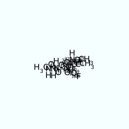 CNC(=O)NNC(=O)[C@H]1CN(S(=O)(=O)c2ccc(F)cc2)c2cc(NC(=O)OC(C)(C)C)ccc2O1